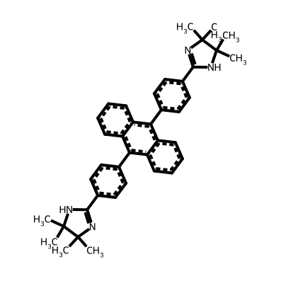 CC1(C)N=C(c2ccc(-c3c4ccccc4c(-c4ccc(C5=NC(C)(C)C(C)(C)N5)cc4)c4ccccc34)cc2)NC1(C)C